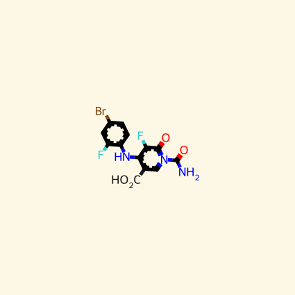 NC(=O)n1cc(C(=O)O)c(Nc2ccc(Br)cc2F)c(F)c1=O